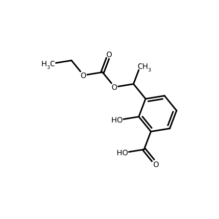 CCOC(=O)OC(C)c1cccc(C(=O)O)c1O